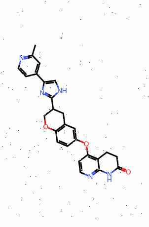 Cc1cc(-c2c[nH]c(C3COc4ccc(Oc5ccnc6c5CCC(=O)N6)cc4C3)n2)ccn1